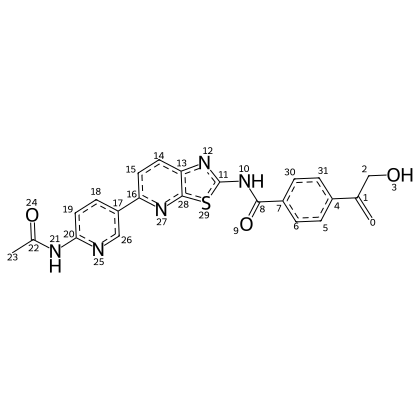 C=C(CO)c1ccc(C(=O)Nc2nc3ccc(-c4ccc(NC(C)=O)nc4)nc3s2)cc1